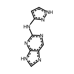 c1cc(Nc2ncc3nc[nH]c3n2)n[nH]1